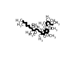 C/C=C(C)/C=C/C=C/C(OC)C(C)C(OC)C(C)CCc1oc2c(OC3OC(CC)C(C)C(C)C3C)c(OC)cc(OC)c2c(=O)c1C